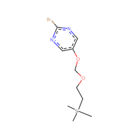 C[Si](C)(C)CCOCOc1cnc(Br)nc1